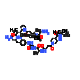 CCCCC(C)(C)NC(=O)C1CCN(C(=O)CCC(=O)NC(C(=O)NCC(=O)Nc2ccc(C[C@@H](CN)NC(=O)[C@H](C)[C@@H](OC)[C@@H]3CCCN3C(=O)C[C@@H](OC)C([C@@H](C)CC)N(C)C(=O)CN)cc2)C(C)C)CC1